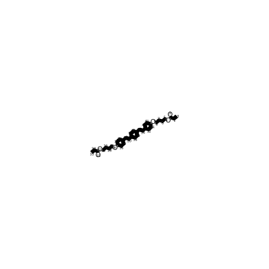 C=CC(=O)OCCCCOc1ccc(C=Cc2ccc(C=Cc3ccc(OCCCCOC(=O)C=C)cc3)cc2)cc1